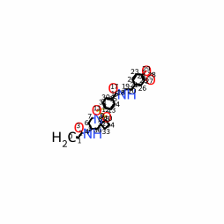 C=CC(=O)NC1CCN(S(=O)(=O)c2ccc(C(=O)NCCc3ccc4c(c3)OCO4)cc2)C2(CCC2)C1